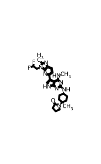 CNc1nc(N[C@H]2CC[C@](C)(N3CCCC3=O)CC2)nc2[nH]cc(-c3ccc4nc(C)n(CC(F)F)c4n3)c12